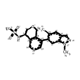 CCS(=O)(=O)NC1COCc2c(-c3cc4c(cnn4C)cc3C)cncc21